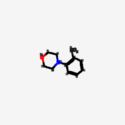 O=[N+]([O-])c1[c]cccc1N1CCOCC1